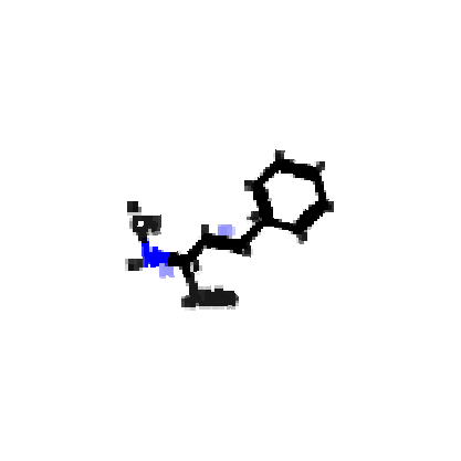 CNC(/C=C/c1ccccc1)=N/C#N